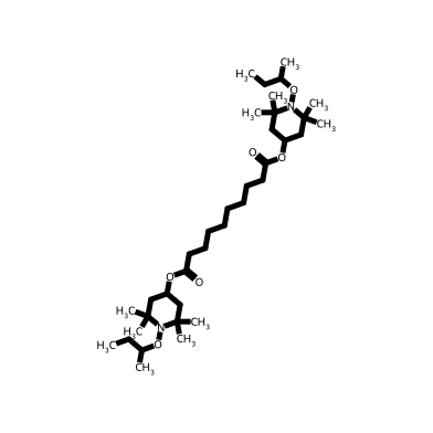 CCC(C)ON1C(C)(C)CC(OC(=O)CCCCCCCCC(=O)OC2CC(C)(C)N(OC(C)CC)C(C)(C)C2)CC1(C)C